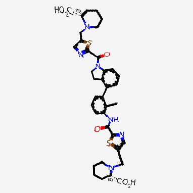 Cc1c(NC(=O)c2ncc(CN3CCCC[C@H]3C(=O)O)s2)cccc1-c1cccc2c1CCN2C(=O)c1ncc(CN2CCCC[C@H]2C(=O)O)s1